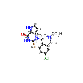 C[C@H](c1cc(Cl)ccc1Cn1c(=S)[nH]c(=O)c2[nH]ccc21)N(C(=O)O)C(=O)O